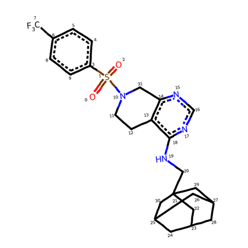 O=S(=O)(c1ccc(C(F)(F)F)cc1)N1CCc2c(ncnc2NCC23CC4CC(CC(C4)C2)C3)C1